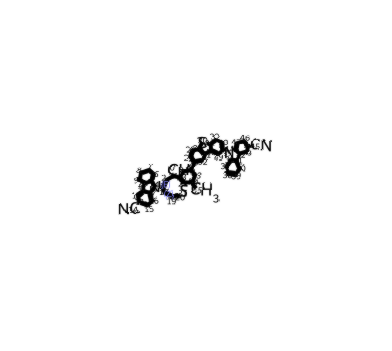 C=C1/C=C(n2c3ccccc3c3cc(C#N)ccc32)\C=C/CSC2=C1C=C(c1ccc3sc4ccc(-n5c6ccccc6c6cc(C#N)ccc65)cc4c3c1)CC2C